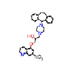 O=[N+]([O-])c1cc(OCC(O)CN2CCN(C3c4ccccc4CCc4ccccc43)CC2)c2cccnc2c1